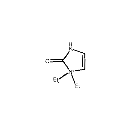 CC[N+]1(CC)C=CNC1=O